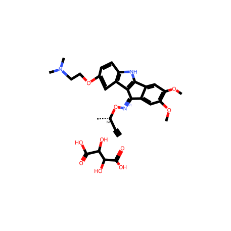 C#C[C@H](C)O/N=C1/c2cc(OC)c(OC)cc2-c2[nH]c3ccc(OCCN(C)C)cc3c21.O=C(O)C(O)C(O)C(=O)O